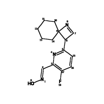 O/N=C/c1nc(C2C=NC23CCCCC3)ccc1F